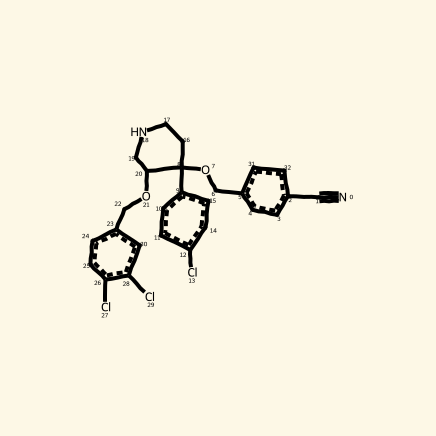 N#Cc1ccc(COC2(c3ccc(Cl)cc3)CCNCC2OCc2ccc(Cl)c(Cl)c2)cc1